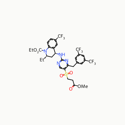 CCOC(=O)N1c2ccc(C(F)(F)F)cc2[C@@H](Nc2ncc(S(=O)(=O)CCC(=O)OC)c(Cc3cc(C(F)(F)F)cc(C(F)(F)F)c3)n2)C[C@H]1CC